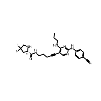 CCCNc1nc(Nc2ccc(C#N)cc2)ncc1C#CCCCNC(=O)[C@@H]1CC(F)(F)CN1